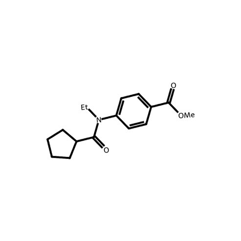 CCN(C(=O)C1CCCC1)c1ccc(C(=O)OC)cc1